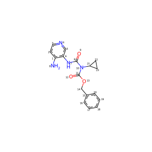 Nc1ccncc1NC(=O)N(C(=O)OCc1ccccc1)C1CC1